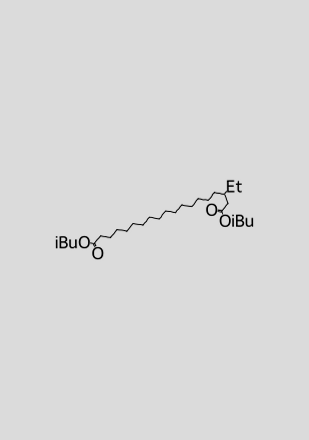 CCC(CCCCCCCCCCCCCCCC(=O)OCC(C)C)CC(=O)OCC(C)C